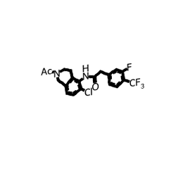 CC(=O)N1CCc2c(ccc(Cl)c2NC(=O)Cc2ccc(C(F)(F)F)c(F)c2)C1